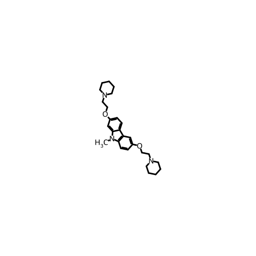 Cn1c2ccc(OCCN3CCCCC3)cc2c2ccc(OCCN3CCCCC3)cc21